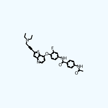 CCN(CC)CC#Cc1cc2nccc(Oc3ccc(NC(=O)c4ccc(NC(C)=O)cc4)cc3F)c2s1